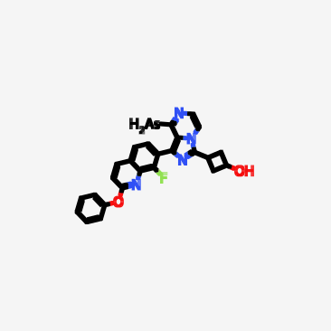 OC1CC(c2nc(-c3ccc4ccc(Oc5ccccc5)nc4c3F)c3c([AsH2])nccn23)C1